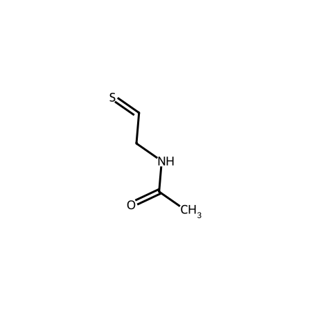 CC(=O)NCC=S